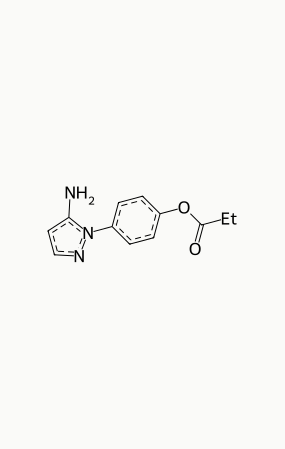 CCC(=O)Oc1ccc(-n2nccc2N)cc1